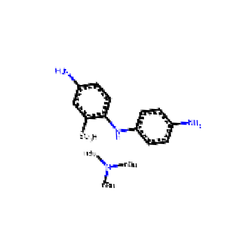 CCCCN(CCCC)CCCC.Nc1ccc(Nc2ccc(N)cc2S(=O)(=O)O)cc1